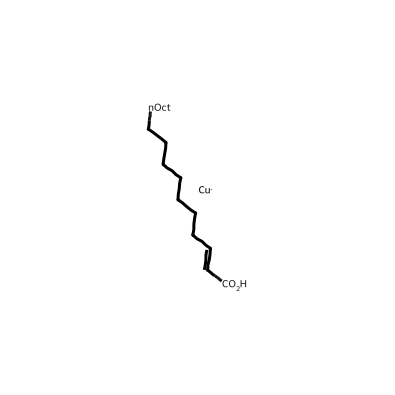 CCCCCCCCCCCCCCC/C=C/C(=O)O.[Cu]